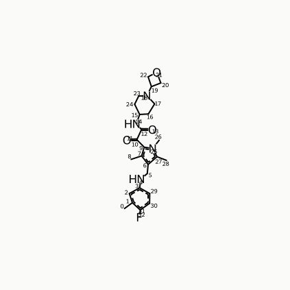 Cc1cc(NCc2c(C)c(C(=O)C(=O)NC3CCN(C4COC4)CC3)n(C)c2C)ccc1F